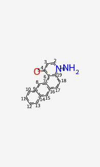 Nn1ccc(=O)c2c3cc4ccccc4cc3ccc21